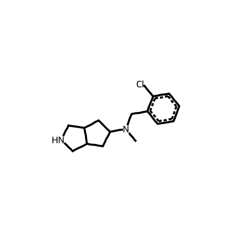 CN(Cc1ccccc1Cl)C1CC2CNCC2C1